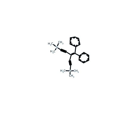 C[Si](C)(C)C#CC(C#C[Si](C)(C)C)=C(c1ccccc1)c1ccccc1